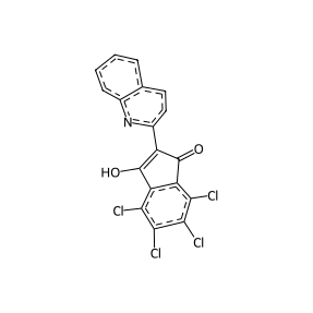 O=C1C(c2ccc3ccccc3n2)=C(O)c2c(Cl)c(Cl)c(Cl)c(Cl)c21